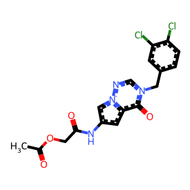 CC(=O)OCC(=O)Nc1cc2c(=O)n(Cc3ccc(Cl)c(Cl)c3)cnn2c1